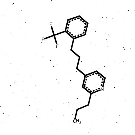 CCCc1cc(CCCc2ccccc2C(F)(F)F)ccn1